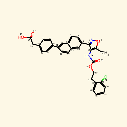 Cc1onc(-c2ccc3cc(-c4ccc(CC(=O)O)cc4)ccc3c2)c1NC(=O)OCCc1ccccc1Cl